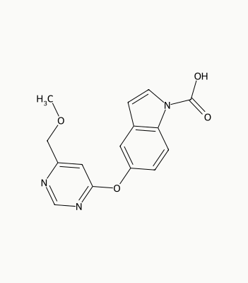 COCc1cc(Oc2ccc3c(ccn3C(=O)O)c2)ncn1